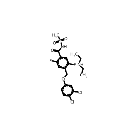 CCNCC.CS(=O)(=O)NC(=O)c1cc(F)c(COc2ccc(Cl)c(Cl)c2)cc1F